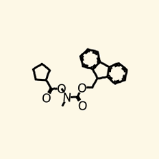 CN(OC(=O)C1CCCC1)C(=O)OCC1c2ccccc2-c2ccccc21